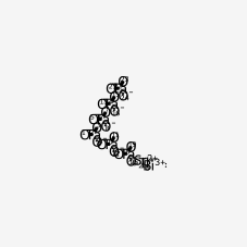 [Bi+3].[O]=[Ta](=[O])[O-].[O]=[Ta](=[O])[O-].[O]=[Ta](=[O])[O-].[O]=[Ta](=[O])[O-].[O]=[Ta](=[O])[O-].[O]=[Ta](=[O])[O-].[Sr+2].[Tl+]